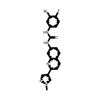 Cn1cc(-c2ccc3ccc(NC(=O)Nc4ccc(F)c(Br)c4)cc3n2)cn1